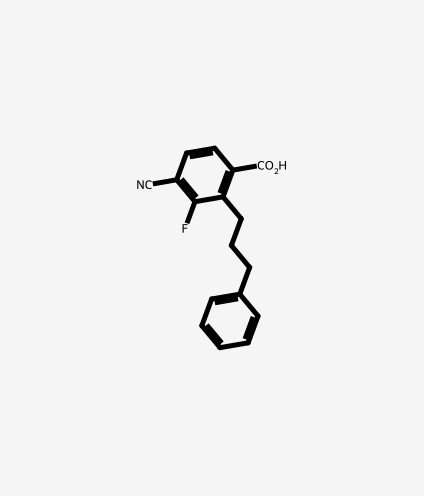 N#Cc1ccc(C(=O)O)c(CCCc2ccccc2)c1F